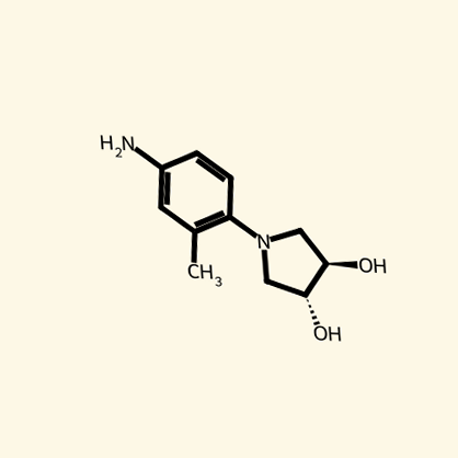 Cc1cc(N)ccc1N1C[C@@H](O)[C@H](O)C1